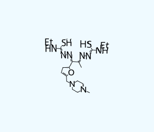 CCN/C(S)=N/N=C(/C(C)=N/N=C(\S)NCC)c1ccc(CN2CCN(C)CC2)o1